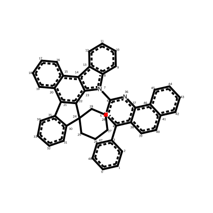 c1ccc(-c2nc(-n3c4ccccc4c4c5ccccc5c5c(c43)C3(CCCCC3)c3ccccc3-5)nc3c2ccc2ccccc23)cc1